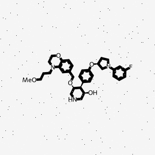 COCCCN1CCOc2ccc(CO[C@H]3CNC[C@H](O)[C@@H]3c3ccc(O[C@H]4CCN(c5cccc(F)c5)C4)cc3)cc21